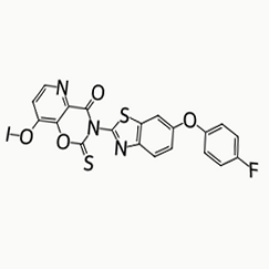 O=c1c2nccc(OI)c2oc(=S)n1-c1nc2ccc(Oc3ccc(F)cc3)cc2s1